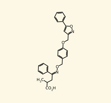 CC(CC(=NOCc1ccc(OCc2cc(-c3ccccc3)on2)cc1)c1ccccc1)C(=O)O